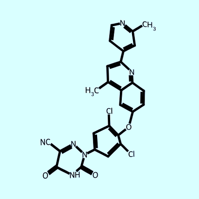 Cc1cc(-c2cc(C)c3cc(Oc4c(Cl)cc(-n5nc(C#N)c(=O)[nH]c5=O)cc4Cl)ccc3n2)ccn1